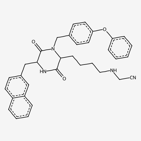 N#CCNCCCCC1C(=O)NC(Cc2ccc3ccccc3c2)C(=O)N1Cc1ccc(Oc2ccccc2)cc1